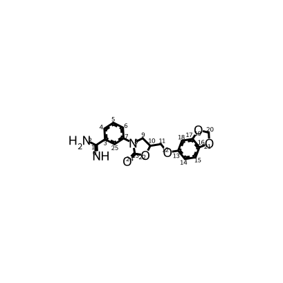 N=C(N)c1cccc(N2CC(COc3ccc4c(c3)OCO4)OC2=O)c1